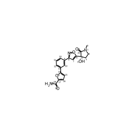 CN1CC[C@@](O)(c2cc(-c3cccc(-c4ccc(C(N)=O)o4)c3)no2)C1=O